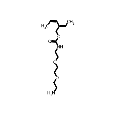 C/C=C\C(=C/C)COC(=O)NCCOCCOCCN